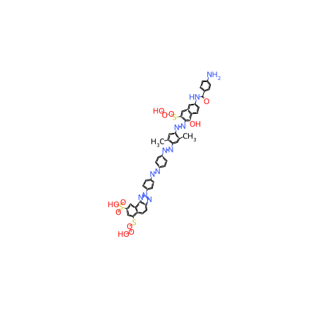 Cc1cc(N=Nc2c(SOOO)cc3cc(NC(=O)c4ccc(N)cc4)ccc3c2O)c(C)cc1N=Nc1ccc(N=Nc2ccc(-n3nc4ccc5c(SOOO)cc(S(=O)(=O)O)cc5c4n3)cc2)cc1